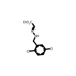 CCOC(=O)/C=N/NCc1cc(Cl)ccc1Cl